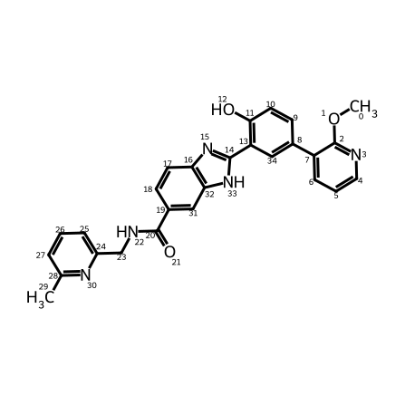 COc1ncccc1-c1ccc(O)c(-c2nc3ccc(C(=O)NCc4cccc(C)n4)cc3[nH]2)c1